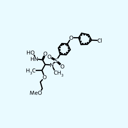 COCCOC(C)C(C(=O)NO)N(C)S(=O)(=O)c1ccc(Oc2ccc(Cl)cc2)cc1